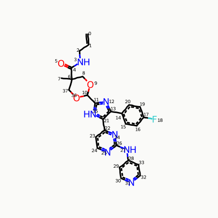 C=CCNC(=O)C1(C)COC(c2nc(-c3ccc(F)cc3)c(-c3ccnc(Nc4ccncc4)n3)[nH]2)OC1